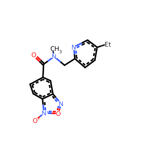 CCc1ccc(CN(C)C(=O)c2ccc3c(c2)no[n+]3[O-])nc1